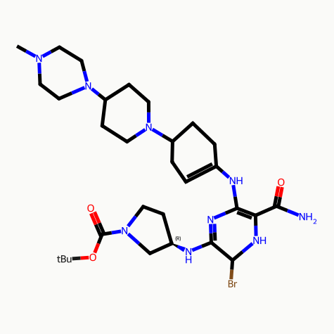 CN1CCN(C2CCN(C3CC=C(NC4=C(C(N)=O)NC(Br)C(N[C@@H]5CCN(C(=O)OC(C)(C)C)C5)=N4)CC3)CC2)CC1